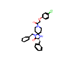 O=C(COc1ccc(Cl)cc1)N1CCC2(CC1)N[C@@H](Cc1ccccc1)C(=O)N2Cc1ccccc1